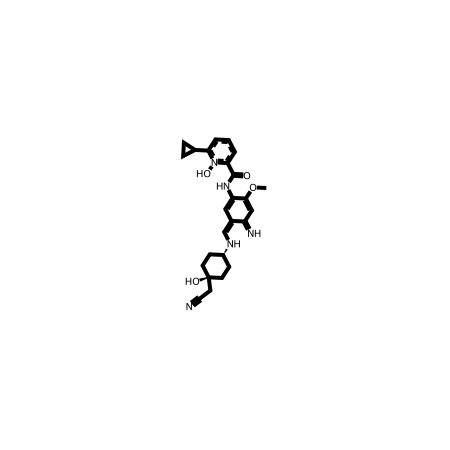 COC1=CC(=N)/C(=C\N[C@H]2CC[C@@](O)(CC#N)CC2)C=C1NC(=O)c1cccc(C2CC2)[n+]1O